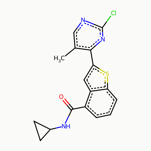 Cc1cnc(Cl)nc1-c1cc2c(C(=O)NC3CC3)cccc2s1